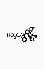 CCN(Cc1cc(C(F)(F)F)ccc1-c1nn(CC(=O)O)c2ccccc12)C(=O)C1CC1